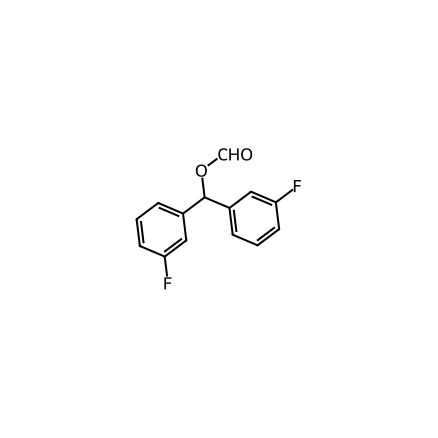 O=COC(c1cccc(F)c1)c1cccc(F)c1